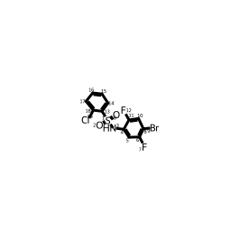 O=S(=O)(Nc1cc(F)c(Br)cc1F)c1ccccc1Cl